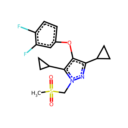 CS(=O)(=O)Cn1nc(C2CC2)c(Oc2ccc(F)c(F)c2)c1C1CC1